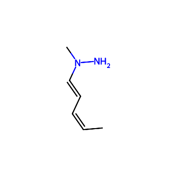 C/C=C\C=C\N(C)N